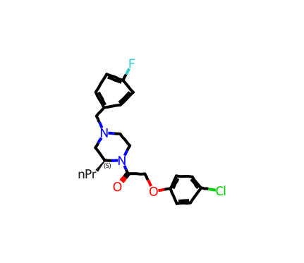 CCC[C@H]1CN(Cc2ccc(F)cc2)CCN1C(=O)COc1ccc(Cl)cc1